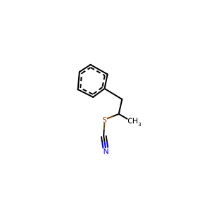 CC(Cc1ccccc1)SC#N